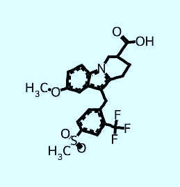 COc1ccc2c(c1)c(Cc1ccc(S(C)(=O)=O)cc1C(F)(F)F)c1n2CC(C(=O)O)CC1